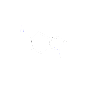 Cn1ccc2cc(NI)ccc21